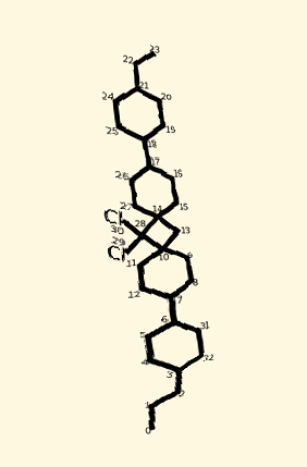 CCCC1CCC(C2CCC3(CC2)CC2(CCC(C4CCC(CC)CC4)CC2)C3(Cl)Cl)CC1